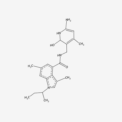 CCC(C)n1cc(C)c2c(C(=O)NCC3=C(C)C=C(N)NC3O)cc(C)cc21